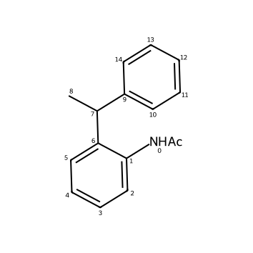 CC(=O)Nc1ccccc1C(C)c1ccccc1